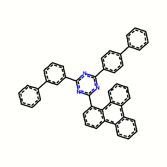 c1ccc(-c2ccc(-c3nc(-c4cccc(-c5ccccc5)c4)nc(-c4cccc5c6ccccc6c6ccccc6c45)n3)cc2)cc1